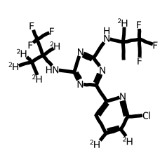 [2H]c1cc(-c2nc(NC([2H])(C)C(F)(F)F)nc(NC([2H])(C([2H])([2H])[2H])C(F)(F)F)n2)nc(Cl)c1[2H]